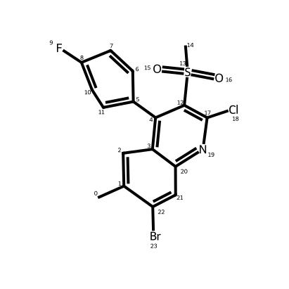 Cc1cc2c(-c3ccc(F)cc3)c(S(C)(=O)=O)c(Cl)nc2cc1Br